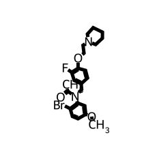 COc1ccc(Br)c(N(Cc2ccc(OCCN3CCCCC3)c(F)c2)C(C)=O)c1